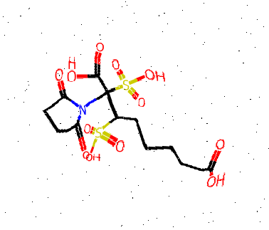 O=C(O)CCCCC(C(C(=O)O)(N1C(=O)CCC1=O)S(=O)(=O)O)S(=O)(=O)O